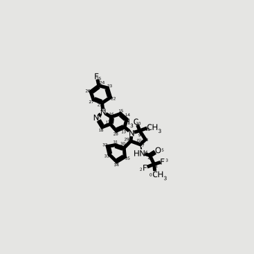 CC(F)(F)C(=O)N[C@H]1CC(C)(C)N(c2ccc3c(cnn3-c3ccc(F)cc3)c2)C1c1ccccc1